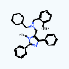 CCCCn1c(-c2ccccc2)nc(-c2ccccc2)c1CN(Cc1ccccc1OC)CC1CCCCC1